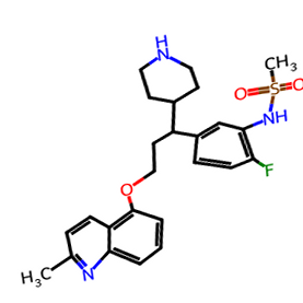 Cc1ccc2c(OCCC(c3ccc(F)c(NS(C)(=O)=O)c3)C3CCNCC3)cccc2n1